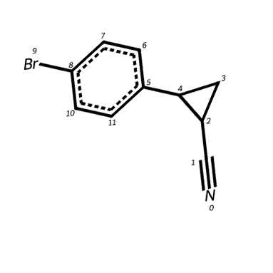 N#CC1CC1c1ccc(Br)cc1